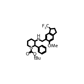 COc1cc2c(cc1CNC1CCCN(C(=O)OC(C)(C)C)C1c1ccccc1)C(C(F)(F)F)CC2